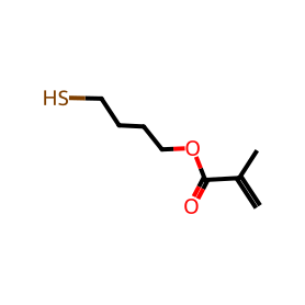 C=C(C)C(=O)OCCCCS